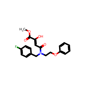 COC(=O)C(O)=CC(=O)N(CCOc1ccccc1)Cc1ccc(F)cc1